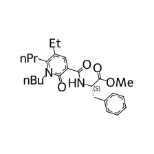 CCCCn1c(CCC)c(CC)cc(C(=O)N[C@@H](Cc2ccccc2)C(=O)OC)c1=O